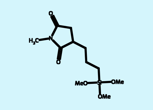 CO[Si](CCCC1CC(=O)N(C)C1=O)(OC)OC